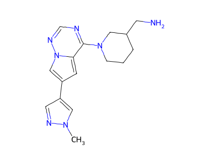 Cn1cc(-c2cc3c(N4CCCC(CN)C4)ncnn3c2)cn1